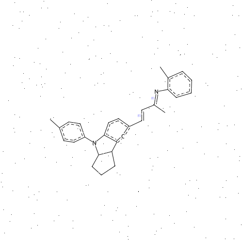 CC(/C=C/c1ccc2c(c1)C1CCCC1N2c1ccc(C)cc1)=N\c1ccccc1C